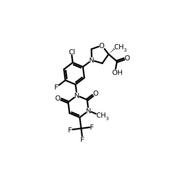 Cn1c(C(F)(F)F)cc(=O)n(-c2cc(N3CO[C@@](C)(C(=O)O)C3)c(Cl)cc2F)c1=O